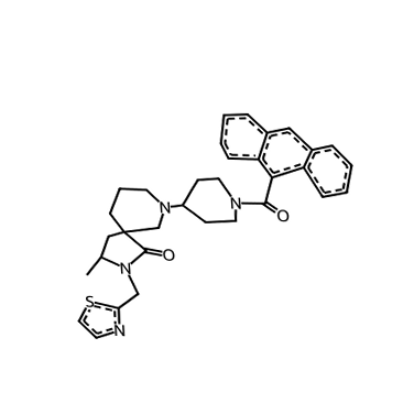 CC1CC2(CCCN(C3CCN(C(=O)c4c5ccccc5cc5ccccc45)CC3)C2)C(=O)N1Cc1nccs1